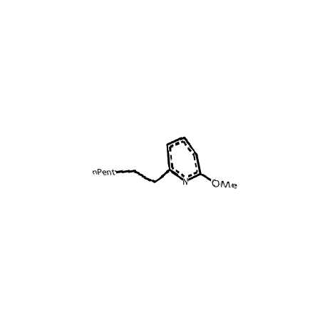 CCCCCCCc1cccc(OC)n1